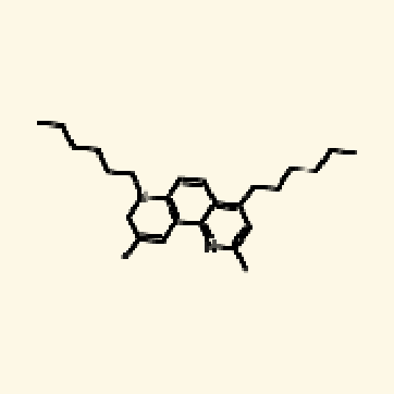 CCCCCCc1cc(C)nc2c3c(ccc12)N(CCCCCC)CC(C)=C3